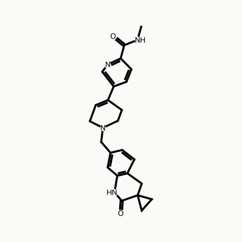 CNC(=O)c1ccc(C2=CCN(Cc3ccc4c(c3)NC(=O)C3(CC3)C4)CC2)cn1